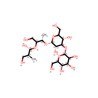 C[C@H](O[C@@H]1OC(CO)[C@H](O)C(O[C@@H]2OC(CO)[C@H](O)[C@H](O)C2O)[C@@H]1O)C(CO)O[C@@H](O)[C@@H](C)CO